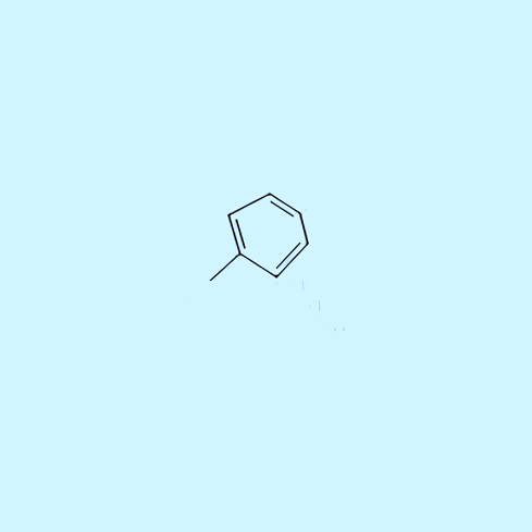 Cc1ccccc1.[Cl-].[Cl-].[Cl-].[Ga+3]